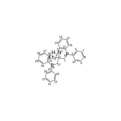 CCC(N)(CP(c1ccccc1)c1ccccc1)CP(c1ccccc1)c1ccccc1